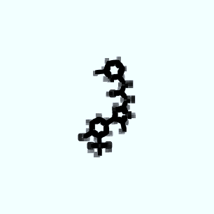 Cc1cccc(NC(=O)Nc2nc(C)c(-c3ccc(Cl)c(S(C)(=O)=O)c3)s2)n1